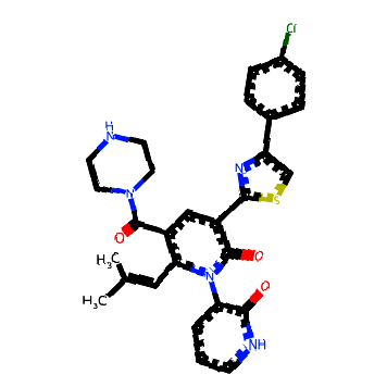 CC(C)=Cc1c(C(=O)N2CCNCC2)cc(-c2nc(-c3ccc(Cl)cc3)cs2)c(=O)n1-c1ccc[nH]c1=O